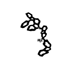 CC1(c2ccc3c(c2)-c2ccccc2C3)C=c2sc3c(N4c5ccc6c7c(n(-c8ccccc8)c6c5C5C=CC=CC54)C=CCC7)cccc3c2=CC1